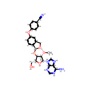 CO[C@H]1C(OB2OCc3cc(Oc4ccc(C#N)cc4)ccc32)[C@@H](CO)O[C@H]1n1cnc2c(N)ncnc21